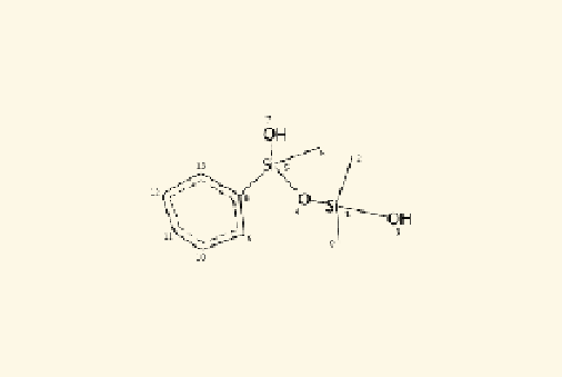 C[Si](C)(O)O[Si](C)(O)c1ccccc1